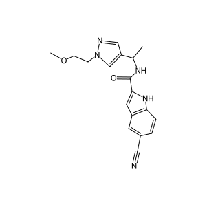 COCCn1cc(C(C)NC(=O)c2cc3cc(C#N)ccc3[nH]2)cn1